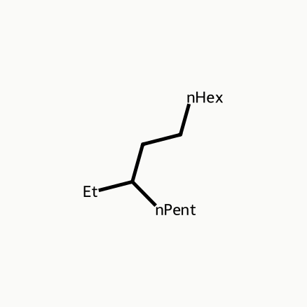 CCCCCCCCC(CC)CCCCC